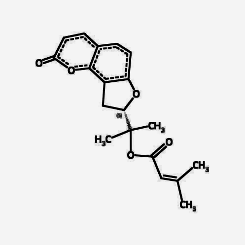 CC(C)=CC(=O)OC(C)(C)[C@@H]1Cc2c(ccc3ccc(=O)oc23)O1